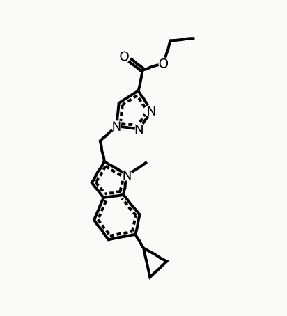 CCOC(=O)c1cn(Cc2cc3ccc(C4CC4)cc3n2C)nn1